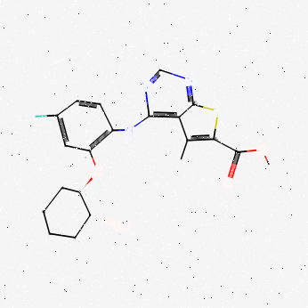 COC(=O)c1sc2ncnc(Nc3ccc(F)cc3O[C@@H]3CCCC[C@H]3O)c2c1C